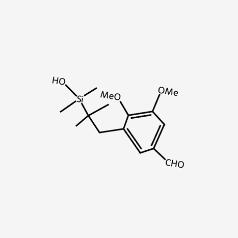 COc1cc(C=O)cc(CC(C)(C)[Si](C)(C)O)c1OC